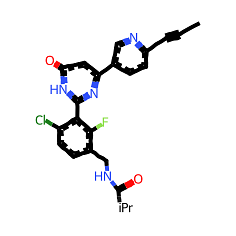 CC#Cc1ccc(-c2cc(=O)[nH]c(-c3c(Cl)ccc(CNC(=O)C(C)C)c3F)n2)cn1